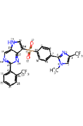 Cn1cc(C(F)(F)F)nc1-c1ccc(S(=O)(=O)c2c[nH]c3cnc(-c4ccccc4C(F)(F)F)nc23)cc1